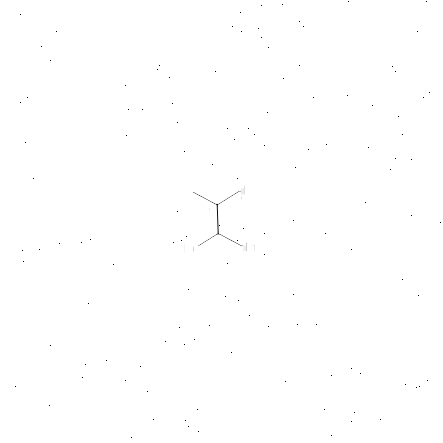 [CH2]CC(C(C)C)C(C)C(C)CC